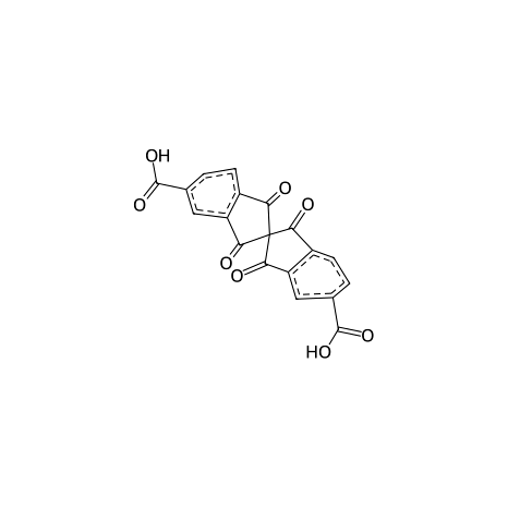 O=C(O)c1ccc2c(c1)C(=O)C1(C2=O)C(=O)c2ccc(C(=O)O)cc2C1=O